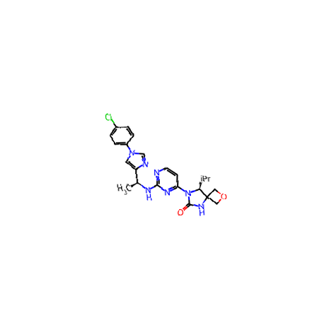 CC(C)[C@@H]1N(c2ccnc(N[C@@H](C)c3cn(-c4ccc(Cl)cc4)cn3)n2)C(=O)NC12COC2